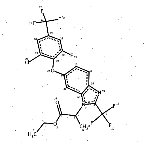 CCOC(=O)C(C)n1c(C(F)(F)F)nc2ccc(Oc3c(F)cc(C(F)(F)F)cc3Cl)cc21